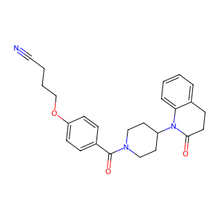 N#CCCCOc1ccc(C(=O)N2CCC(N3C(=O)CCc4ccccc43)CC2)cc1